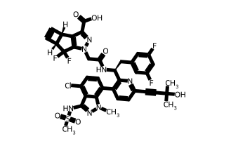 Cn1nc(NS(C)(=O)=O)c2c(Cl)ccc(-c3ccc(C#CC(C)(C)O)nc3[C@H](Cc3cc(F)cc(F)c3)NC(=O)Cn3nc(C(=O)O)c4c3C(F)(F)[C@@H]3C#C[C@H]43)c21